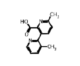 Cc1ccc(-c2ncccc2C)c(C(=O)O)n1